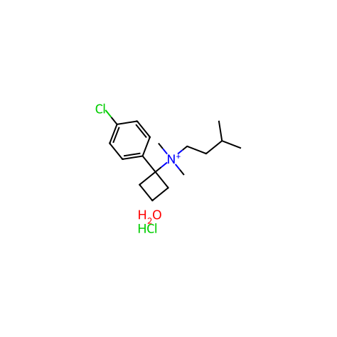 CC(C)CC[N+](C)(C)C1(c2ccc(Cl)cc2)CCC1.Cl.O